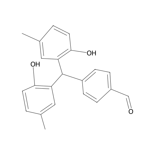 Cc1ccc(O)c(C(c2ccc(C=O)cc2)c2cc(C)ccc2O)c1